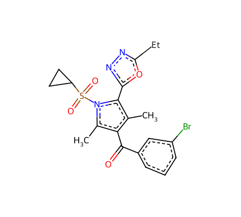 CCc1nnc(-c2c(C)c(C(=O)c3cccc(Br)c3)c(C)n2S(=O)(=O)C2CC2)o1